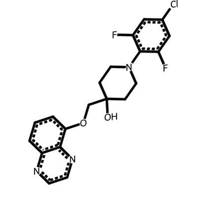 OC1(COc2cccc3nccnc23)CCN(c2c(F)cc(Cl)cc2F)CC1